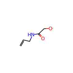 C=CCNC(=O)C[O]